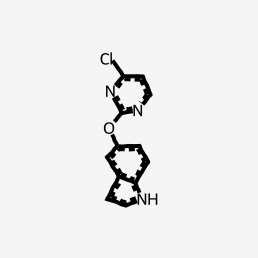 Clc1ccnc(Oc2ccc3[nH]ccc3c2)n1